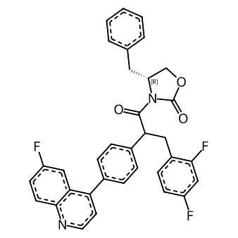 O=C1OC[C@@H](Cc2ccccc2)N1C(=O)C(Cc1ccc(F)cc1F)c1ccc(-c2ccnc3ccc(F)cc23)cc1